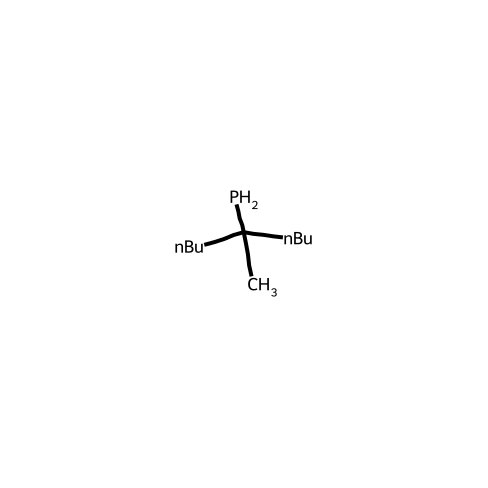 CCCCC(C)(P)CCCC